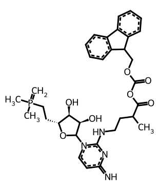 C=P(C)(C)CC[C@H]1OC(n2ccc(=N)nc2NCCC(C)C(=O)OC(=O)OCC2c3ccccc3-c3ccccc32)[C@H](O)[C@@H]1O